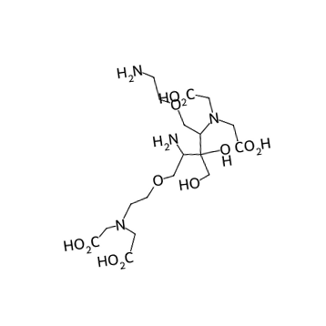 NCCOCC(N(CC(=O)O)CC(=O)O)C(O)(CO)C(N)COCCN(CC(=O)O)CC(=O)O